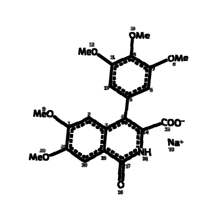 COc1cc2c(-c3cc(OC)c(OC)c(OC)c3)c(C(=O)[O-])[nH]c(=O)c2cc1OC.[Na+]